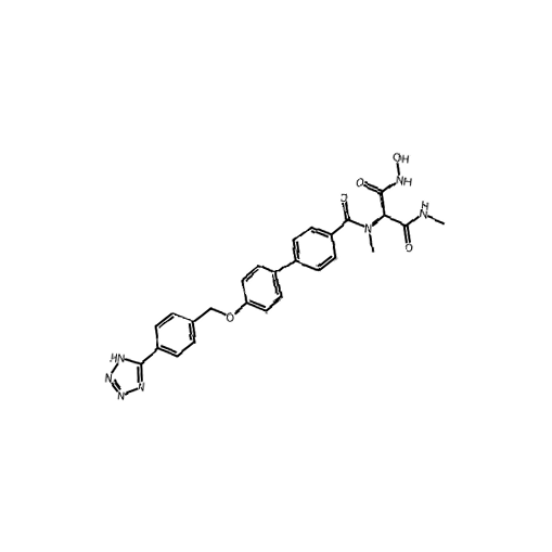 CNC(=O)C(C(=O)NO)N(C)C(=O)c1ccc(-c2ccc(OCc3ccc(-c4nnn[nH]4)cc3)cc2)cc1